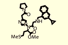 COC(=O)C(CCSC)N(C(=O)CNCc1cc(C2CC2)cc2ccccc12)n1cnc(CC(=O)N2CCCC2)c1